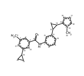 Cc1cc(C(=O)Nc2cccc(C3CC3c3nncn3C)c2)nc(C2CC2)n1